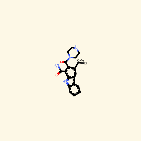 CCC(OC)c1cc2c([nH]c3ccccc32)c(C(N)=O)c1C(=O)N1CCNCC1